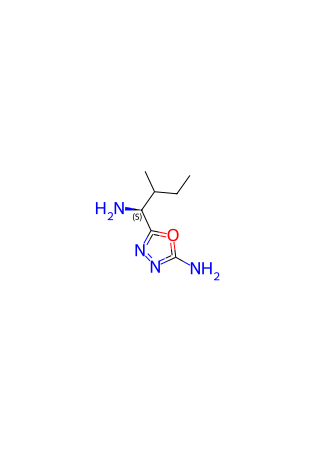 CCC(C)[C@H](N)c1nnc(N)o1